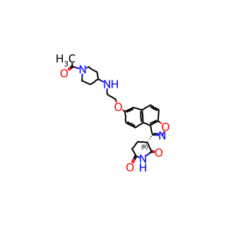 CC(=O)N1CCC(NCCOc2ccc3c(ccc4onc([C@H]5CCC(=O)NC5=O)c43)c2)CC1